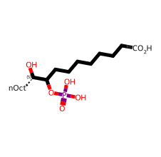 CCCCCCCC[C@H](O)C(CCCCCCCC(=O)O)OP(=O)(O)O